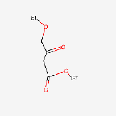 CCOCC(=O)CC(=O)OC(C)C